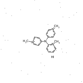 C[n+]1ccc(N(c2cc[n+](C)cc2)c2cccc[n+]2C)cc1.I